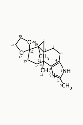 Cc1nc2c([nH]1)CCC13CC1(C)C1(CCC23C)OCCO1